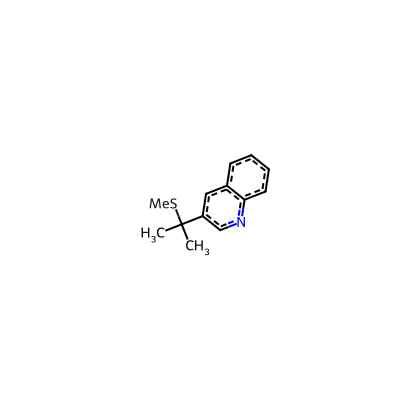 CSC(C)(C)c1cnc2ccccc2c1